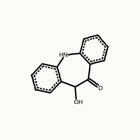 O=C1c2ccccc2Nc2ccccc2C1O